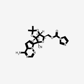 CC1(C)O[C@H]2[C@@H](O1)[C@](C#N)(c1ccc3c(N)ncnn13)O[C@@H]2COC(=O)n1ccnc1